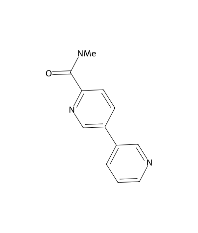 CNC(=O)c1ccc(-c2cccnc2)cn1